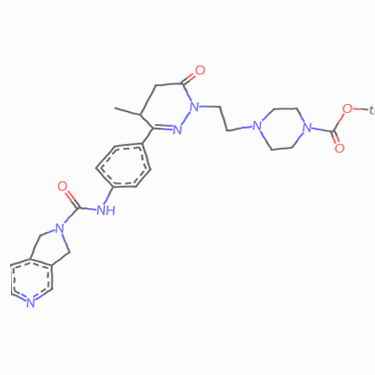 CC1CC(=O)N(CCN2CCN(C(=O)OC(C)(C)C)CC2)N=C1c1ccc(NC(=O)N2Cc3ccncc3C2)cc1